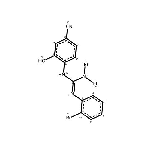 CCN(CC)C(=Nc1ccccc1Br)Nc1ccc(C#N)cc1O